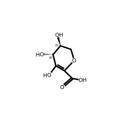 O=C(O)C1=C(O)[C@H](O)[C@@H](O)CO1